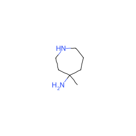 CC1(N)CCCNCC1